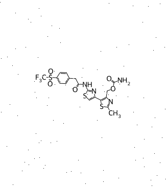 Cc1nc(COC(N)=O)c(-c2csc(NC(=O)Cc3ccc(S(=O)(=O)C(F)(F)F)cc3)n2)s1